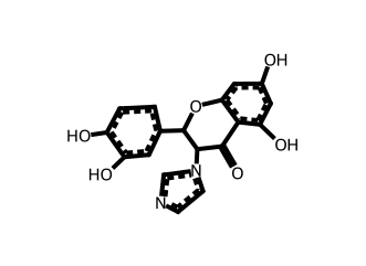 O=C1c2c(O)cc(O)cc2OC(c2ccc(O)c(O)c2)C1n1ccnc1